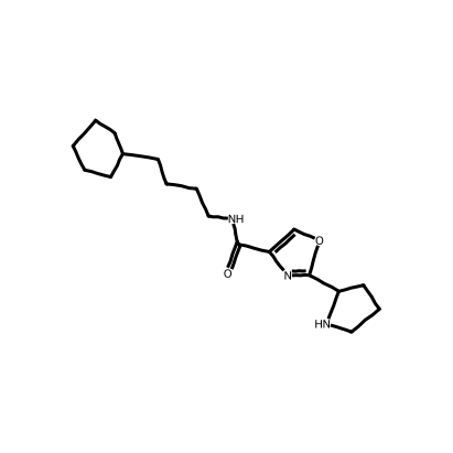 O=C(NCCCCC1CCCCC1)c1coc(C2CCCN2)n1